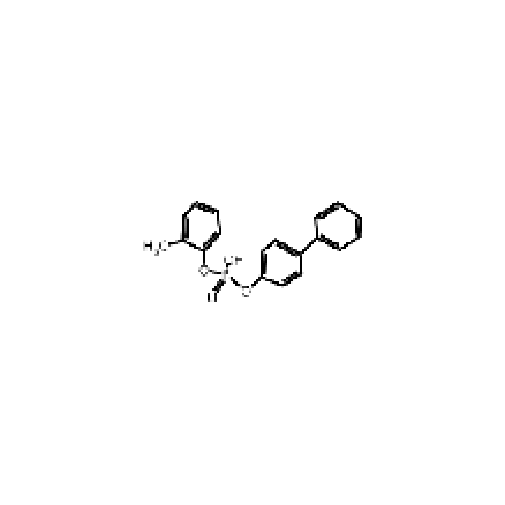 Cc1ccccc1OP(=O)(O)Oc1ccc(-c2ccccc2)cc1